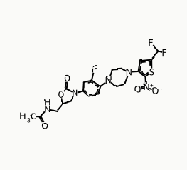 CC(=O)NCC1CN(c2ccc(N3CCN(c4cc(C(F)F)sc4[N+](=O)[O-])CC3)c(F)c2)C(=O)O1